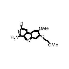 COCCOc1cc2ncc3c(N)nc(Cl)cc3c2cc1OC